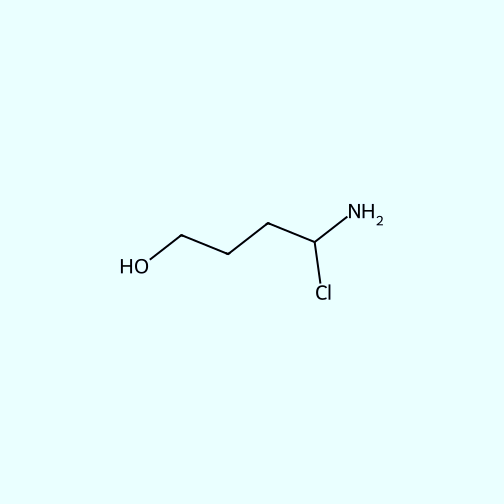 NC(Cl)CCCO